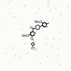 COc1cc(C(=O)N2CCC(c3cnc(C)cc3OC)CC2)ncc1OC[C@H]1C[C@H](C(F)(F)F)C1